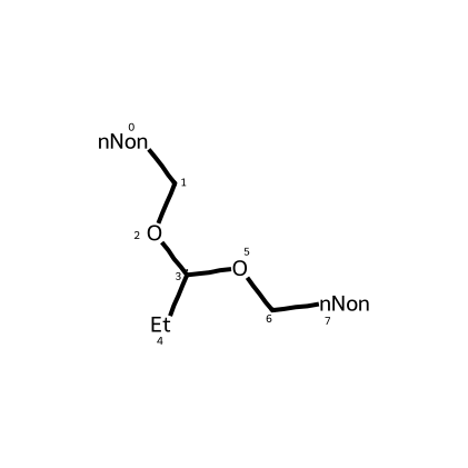 CCCCCCCCCCO[C](CC)OCCCCCCCCCC